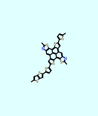 Cc1ccc(-c2cc3c4cc5nc(C)sc5c5c6sc(-c7ccc(-c8cc9sc(C)cc9s8)s7)cc6c6cc7nc(C)sc7c(c3s2)c6c45)s1